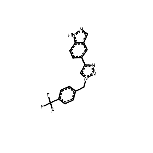 FC(F)(F)c1ccc(Cn2cc(-c3ccc4[nH]ncc4c3)nn2)cc1